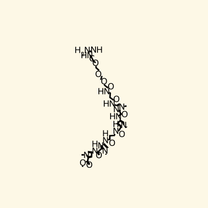 COC(=O)c1cc(NC(=O)c2nc(NC(=O)CCNC(=O)c3cc(NC(=O)c4nc(NC(=O)CCNC(=O)COCCOCCOCCNC(=N)N)cn4C)cn3C)cn2C)cn1C